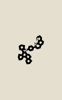 c1ccc2c(c1)ccc1c2c2ccccc2c2c3ccccc3n(-c3ccc(-c4ccc5ccc6cccnc6c5n4)cc3)c12